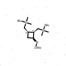 CON=C1C[C@@H](C[Si](C)(C)C(C)(C)C)[C@H]1C[Si](C)(C)C(C)(C)C